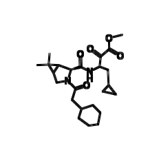 COC(=O)C(=O)C(CC1CC1)NC(=O)[C@@H]1C2C(CN1C(=O)CC1CCCCC1)C2(C)C